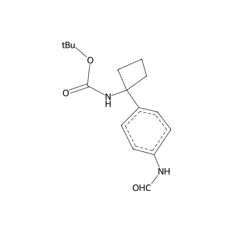 CC(C)(C)OC(=O)NC1(c2ccc(NC=O)cc2)CCC1